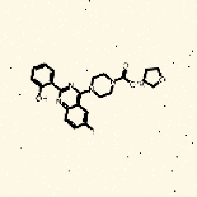 O=C(O[C@@H]1CCOC1)N1CCN(c2nc(-c3ccccc3O)nc3ccc(F)cc23)CC1